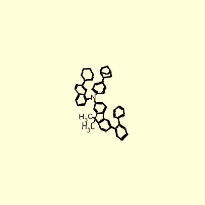 CC1(C)c2ccc(-c3ccccc3-c3ccccc3)cc2-c2ccc(N(c3ccc(C4CC5CCC4C5)cc3)c3cccc4ccc(C5CCCCC5)cc34)cc21